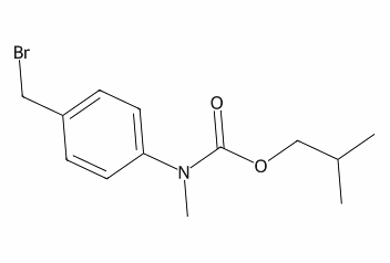 CC(C)COC(=O)N(C)c1ccc(CBr)cc1